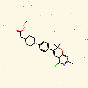 COOC(=O)C[C@H]1CC[C@H](c2ccc(C3=Cc4c(Cl)nc(C)nc4OC3(C)C)cc2)CC1